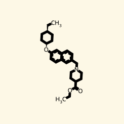 CCOC(=O)C1CCN(Cc2ccc3cc(O[C@H]4CC[C@H](CC)CC4)ccc3c2)CC1